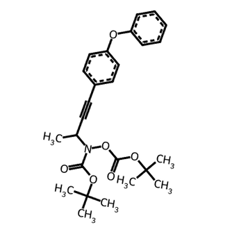 CC(C#Cc1ccc(Oc2ccccc2)cc1)N(OC(=O)OC(C)(C)C)C(=O)OC(C)(C)C